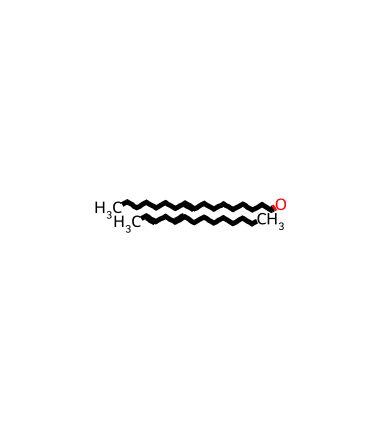 CC=CCC=CCCCCCCCC.CCCCCCCC=CCCCCCCCC=O